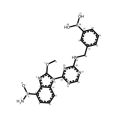 COc1nc2c([S+](N)[O-])cccc2n1-c1ncnc(NCc2cccc(B(O)O)c2)n1